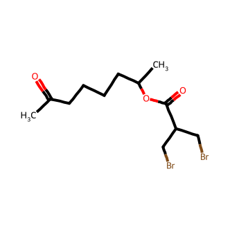 CC(=O)CCCCC(C)OC(=O)C(CBr)CBr